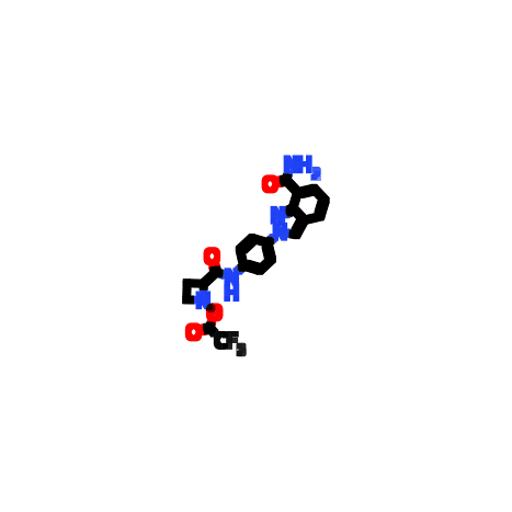 NC(=O)c1cccc2cn(-c3ccc(NC(=O)C4CCN4OC(=O)C(F)(F)F)cc3)nc12